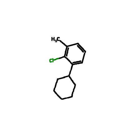 Cc1cccc(C2CCCCC2)c1Cl